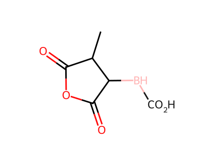 CC1C(=O)OC(=O)C1BC(=O)O